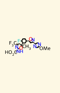 COc1cnc(-c2cc(-c3ccc(F)c([C@]4(C)C[C@@H](C(F)(F)F)N=C(NC(=O)O)O4)c3)on2)cn1